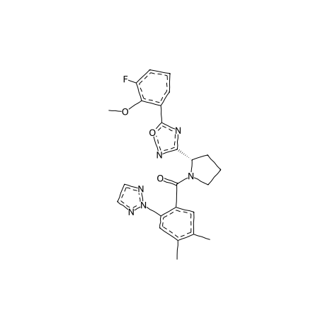 COc1c(F)cccc1-c1nc([C@@H]2CCCN2C(=O)c2cc(C)c(C)cc2-n2nccn2)no1